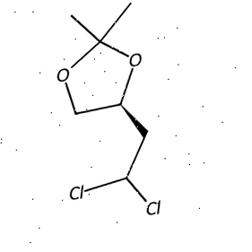 CC1(C)OC[C@H](CC(Cl)Cl)O1